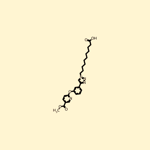 COC(=O)c1ccc(Oc2cccc(-c3cn(CCCCCCCCCCC(=O)O)nn3)c2)nc1